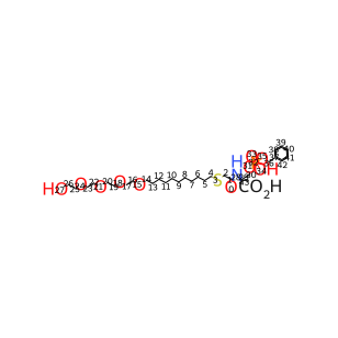 O=C(CSCCCCCCCCCCCOCCOCCOCCOCCO)NC(COP(=O)(O)OCc1ccccc1)C(=O)O